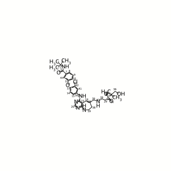 CC(C)(C)NC(=O)c1cccc(Oc2ccc(Nc3ncnc4c3C=C(CNCCS(=O)(=O)C(C)(C)CO)CCN4)cc2Cl)c1